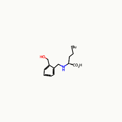 CC(C)(C)CC[C@H](NCc1ccccc1CO)C(=O)O